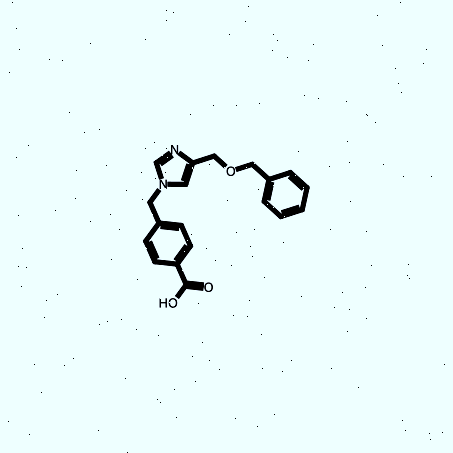 O=C(O)c1ccc(Cn2cnc(COCc3ccccc3)c2)cc1